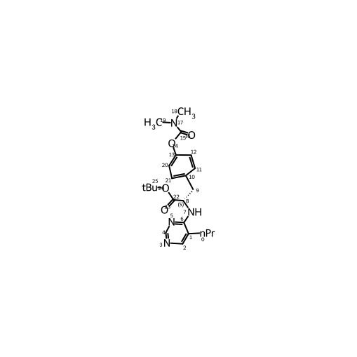 CCCc1cncnc1N[C@@H](Cc1ccc(OC(=O)N(C)C)cc1)C(=O)OC(C)(C)C